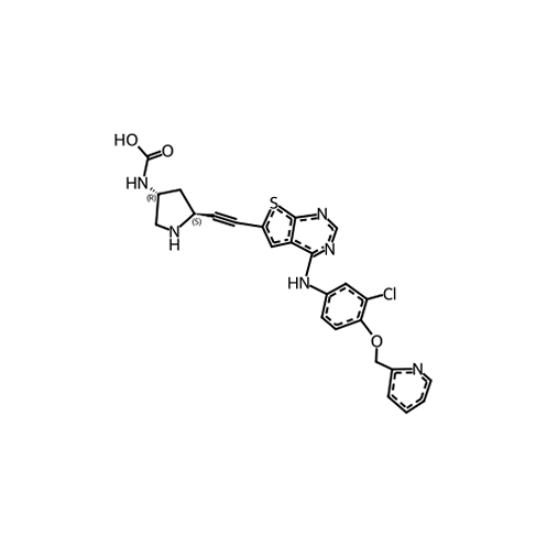 O=C(O)N[C@H]1CN[C@H](C#Cc2cc3c(Nc4ccc(OCc5ccccn5)c(Cl)c4)ncnc3s2)C1